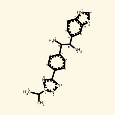 CC(C)n1nnc(-c2ccc(C(N)C(N)c3ccc4[nH]cnc4c3)cc2)n1